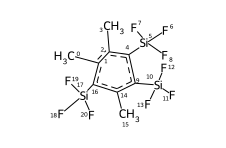 Cc1c(C)c([Si](F)(F)F)c([Si](F)(F)F)c(C)c1[Si](F)(F)F